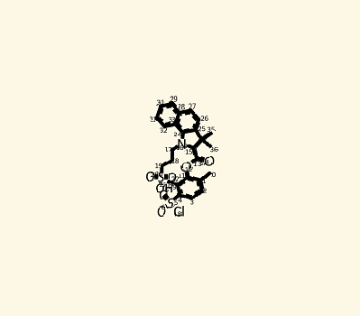 Cc1ccc(S(=O)(=O)Cl)c(C)c1OC(=O)C1N(CCCS(=O)(=O)O)c2c(ccc3ccccc23)C1(C)C